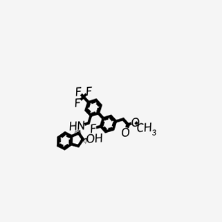 COC(=O)Cc1ccc(F)c(-c2ccc(C(F)(F)F)cc2CN[C@H]2c3ccccc3C[C@H]2O)c1